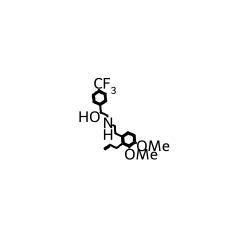 C=CCc1c(CCNCC(O)c2ccc(C(F)(F)F)cc2)ccc(OC)c1OC